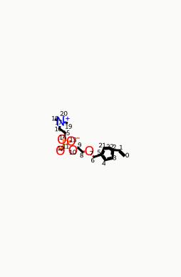 C=Cc1ccc(COCCOP(=O)([O-])OCC[N+](C)(C)C)cc1